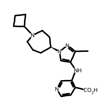 Cc1nn([C@H]2CCCN(C3CCC3)CC2)cc1Nc1cnccc1C(=O)O